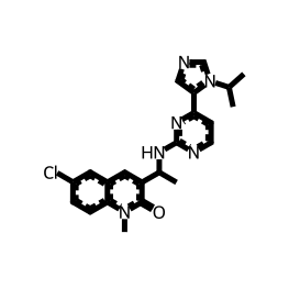 CC(Nc1nccc(-c2cncn2C(C)C)n1)c1cc2cc(Cl)ccc2n(C)c1=O